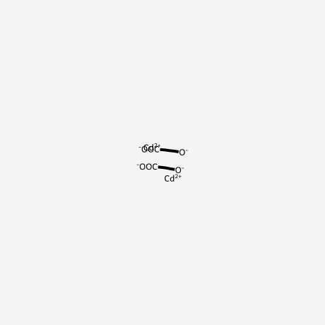 O=C([O-])[O-].O=C([O-])[O-].[Cd+2].[Cd+2]